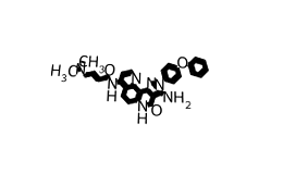 CN(C)C/C=C/C(=O)Nc1ccnc2c1CCc1[nH]c(=O)c3c(N)n(-c4ccc(Oc5ccccc5)cc4)nc3c1-2